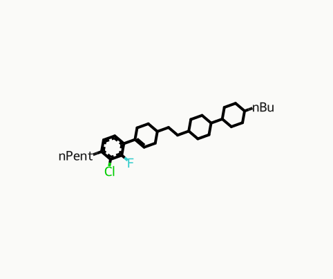 CCCCCc1ccc(C2=CCC(CCC3CCC(C4CCC(CCCC)CC4)CC3)CC2)c(F)c1Cl